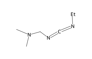 CCN=C=NCN(C)C